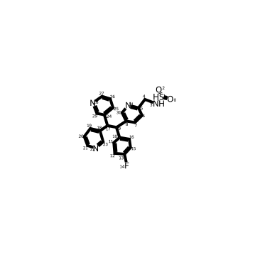 O=[SH](=O)NCc1ccc(C(c2ccc(F)cc2)C(c2cccnc2)c2cccnc2)cn1